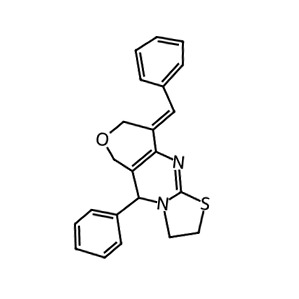 C(=C1COCC2=C1N=C1SCCN1C2c1ccccc1)c1ccccc1